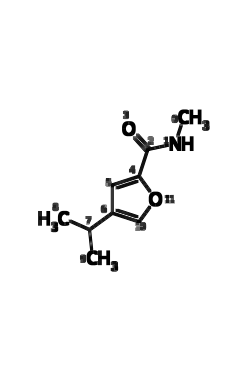 CNC(=O)c1cc(C(C)C)co1